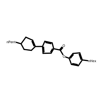 CCCCCCc1ccc(OC(=O)c2ccc(C3=CCC(CCCCC)CC3)cc2)cc1